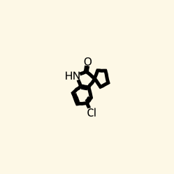 O=C1Nc2ccc(Cl)cc2C12CCCC2